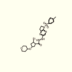 CCC1CC(OC2CCOCC2)CC1C(=O)NNc1cnc2c(n1)CCN2S(=O)(=O)c1ccc(C)cc1